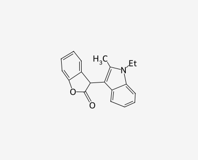 CCn1c(C)c(C2C(=O)Oc3ccccc32)c2ccccc21